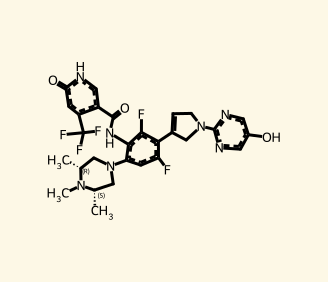 C[C@@H]1CN(c2cc(F)c(C3=CCN(c4ncc(O)cn4)C3)c(F)c2NC(=O)c2c[nH]c(=O)cc2C(F)(F)F)C[C@H](C)N1C